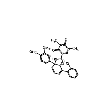 COc1nc(C2(NC(=O)c3cn(C)c(=O)n(C)c3=O)C=CC=C(c3ccccc3Cl)C2Cl)cnc1C=O